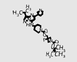 CC(C)c1cnn2c(NC3CCN(C(=O)OCC4(F)CN(C(=O)OC(C)(C)C)C4)CC3)cc(-c3cccnc3)nc12